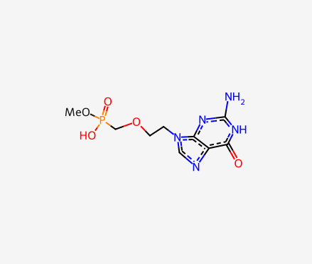 COP(=O)(O)COCCn1cnc2c(=O)[nH]c(N)nc21